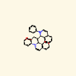 O=[C][CH2][Ir]([CH]1c2ccccc2C=CN1c1ccccc1)[CH]1c2ccccc2C=CN1c1ccccc1